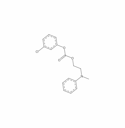 CN(CCOC(=O)Oc1cccc(Cl)c1)c1ccccc1